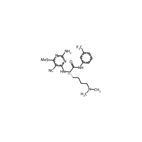 CSc1nc(N)nc(N[C@@H](CCCCN(C)C)C(=O)Nc2cccc(C(F)(F)F)c2)c1C#N